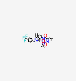 CC(C)CC(C(=O)N[C@H]1CC[C@@H]2CN(Cc3ccc(C(F)(F)F)cc3)C[C@@H]21)N(C)C(=O)OC(C)(C)C